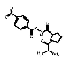 CC(N)C(=O)N1CCCC1C(=O)NOC(=O)c1ccc([N+](=O)[O-])cc1